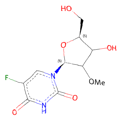 COC1C(O)[C@H](CO)O[C@@H]1n1cc(F)c(=O)[nH]c1=O